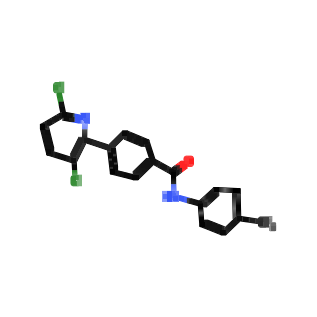 O=C(Nc1ccc(C(F)(F)F)cc1)c1ccc(-c2nc(Cl)ccc2Cl)cc1